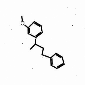 COc1cccc(C(C)CCc2ccccc2)c1